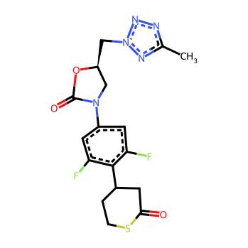 Cc1nnn(C[C@H]2CN(c3cc(F)c(C4CCSC(=O)C4)c(F)c3)C(=O)O2)n1